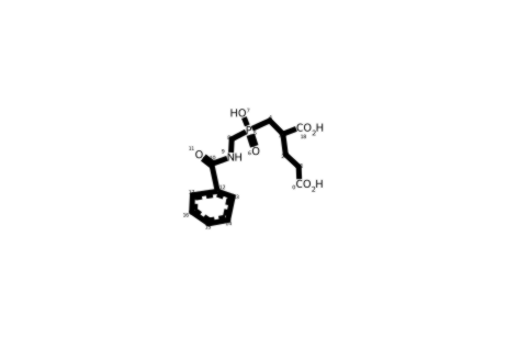 O=C(O)CCC(CP(=O)(O)CNC(=O)c1ccccc1)C(=O)O